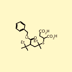 CCC(C)(CC(C(=O)OCc1ccccc1)C(C)(C)CC)SC(CC(=O)O)C(=O)O